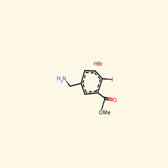 Br.COC(=O)c1cc(CN)ccc1I